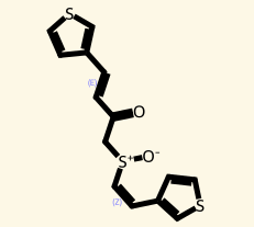 O=C(/C=C/c1ccsc1)C[S+]([O-])/C=C\c1ccsc1